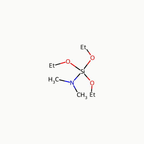 CCO[Si](OCC)(OCC)N(C)C